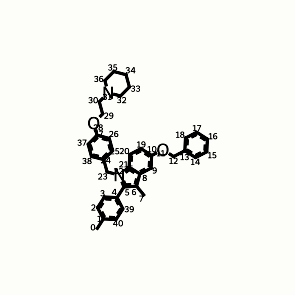 Cc1ccc(-c2c(C)c3cc(OCc4ccccc4)ccc3n2Cc2ccc(OCCN3CCCCC3)cc2)cc1